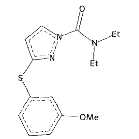 CCN(CC)C(=O)n1ccc(Sc2cccc(OC)c2)n1